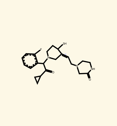 O=C1CN(C/C=C2\CN(C(C(=O)C3CC3)c3ccccc3F)CCC2S)CCN1